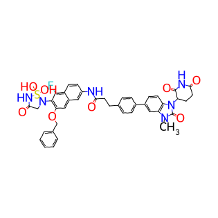 Cn1c(=O)n(C2CCC(=O)NC2=O)c2ccc(-c3ccc(CCC(=O)Nc4ccc5c(F)c(N6CC(=O)NS6(O)O)c(OCc6ccccc6)cc5c4)cc3)cc21